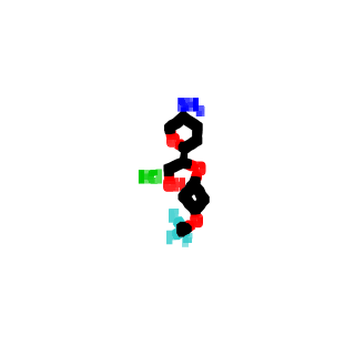 Cl.N[C@@H]1CC[C@@H](C(CO)OC2CC(OC(F)(F)F)C2)OC1